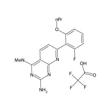 CCCOc1cccc(F)c1-c1ccc2c(NC)nc(N)nc2n1.O=C(O)C(F)(F)F